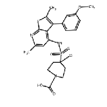 COc1cccc(-c2c(C)sc3nc(C)cc(NS(=O)(=O)C4(Cl)CCN(C(=O)O)CC4)c23)c1